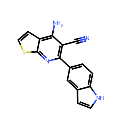 N#Cc1c(-c2ccc3[nH]ccc3c2)nc2sccc2c1N